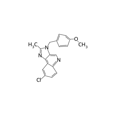 COc1ccc(Cn2c(C)nc3c4cc(Cl)ccc4ncc32)cc1